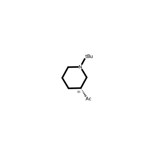 CC(=O)[C@@H]1CCCN(C(C)(C)C)C1